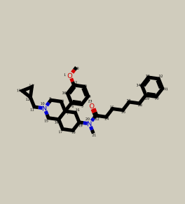 COc1cccc(C23CCN(CC4CC4)CC2CCC(N(C)C(=O)CCCCCc2ccccc2)C3)c1